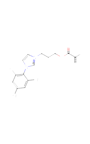 C=C(C)C(=O)OCCC[n+]1ccn(-c2c(C)cc(C)cc2C)c1